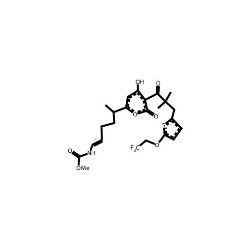 COC(=O)N/C=C/CCC(C)c1cc(O)c(C(=O)C(C)(C)Cc2ccc(OCC(F)(F)F)s2)c(=O)o1